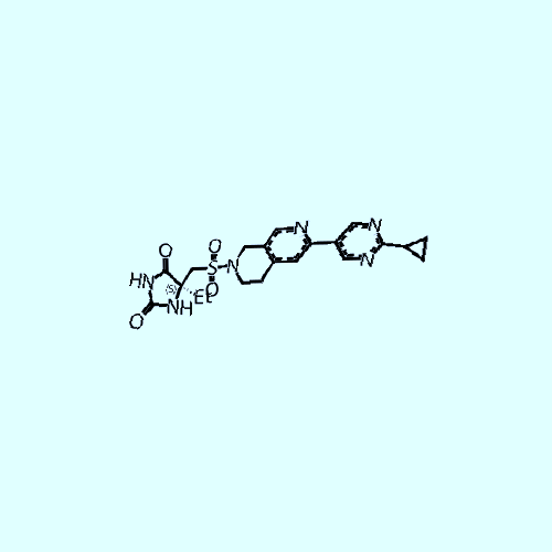 CC[C@]1(CS(=O)(=O)N2CCc3cc(-c4cnc(C5CC5)nc4)ncc3C2)NC(=O)NC1=O